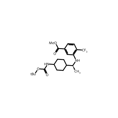 COC(=O)c1ccc(C(F)(F)F)c(N[C@@H](C)C2CCC(NC(=O)OC(C)(C)C)CC2)c1